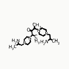 CC(N)CN1CCN(C(C)C(=O)C(C)N2CCN(CC(C)N)CC2)CC1